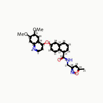 COc1cc2nccc(Oc3ccc4c(C(=O)NCc5cc(C)on5)cccc4c3)c2cc1OC